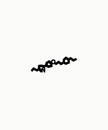 CCCc1ccc(-c2ccc(OCCCC3CCC(CCC)CC3)cc2)nc1